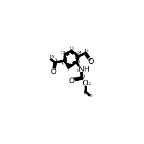 CCOC(=O)Nc1cc(C(C)=O)ccc1C=O